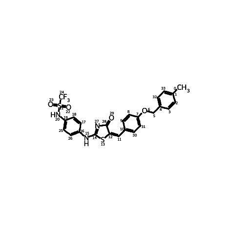 Cc1ccc(COc2ccc(C=C3SC(Nc4ccc(NS(=O)(=O)C(F)(F)F)cc4)=NC3=O)cc2)cc1